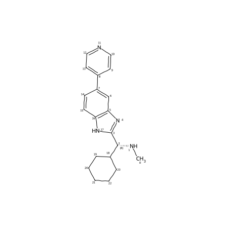 CN[C@@H](c1nc2cc(-c3ccncc3)ccc2[nH]1)C1CCCCC1